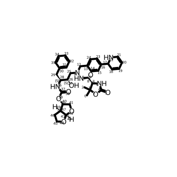 CC1(C)OC(=O)N[C@@H]1C(=O)NN(Cc1ccc(C2C=CC=CN2)cc1)C[C@H](O)[C@H](Cc1ccccc1)NC(=O)O[C@H]1CO[C@H]2OCC[C@H]21